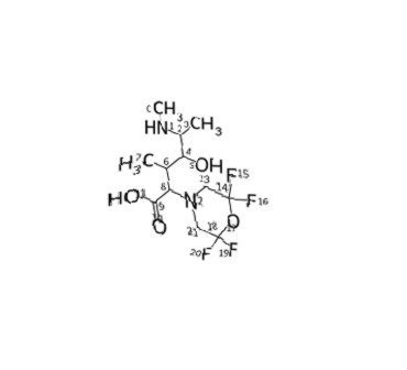 CNC(C)C(O)C(C)C(C(=O)O)N1CC(F)(F)OC(F)(F)C1